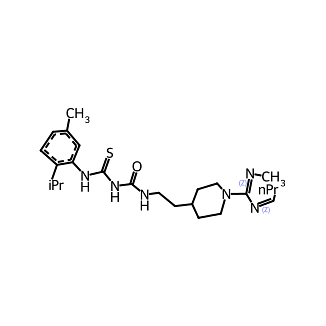 CCC/C=N\C(=N/C)N1CCC(CCNC(=O)NC(=S)Nc2cc(C)ccc2C(C)C)CC1